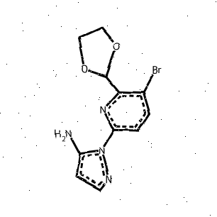 Nc1ccnn1-c1ccc(Br)c(C2OCCO2)n1